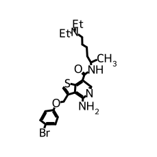 CCN(CC)CCCCC(C)NC(=O)c1cnc(N)c2c(COc3ccc(Br)cc3)csc12